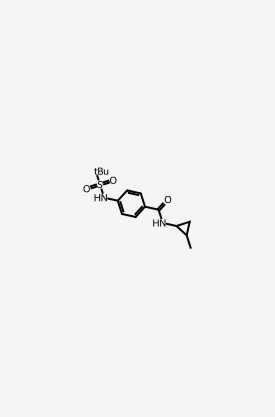 CC1CC1NC(=O)c1ccc(NS(=O)(=O)C(C)(C)C)cc1